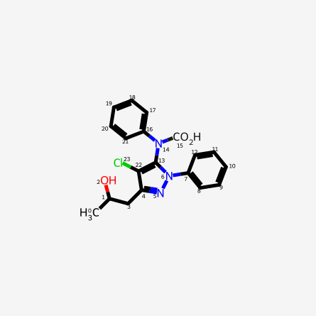 CC(O)Cc1nn(-c2ccccc2)c(N(C(=O)O)c2ccccc2)c1Cl